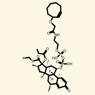 CCC(=O)O[C@]1(C(=O)SCF)[C@H](C)C[C@H]2[C@@H]3C[C@H](F)C4=CC(=O)C=C[C@]4(C)[C@@]3(F)[C@@H](OP(=O)(O)OP(=O)(O)OCCNC(=O)COC3C#CCCCCC3)C[C@@]21C